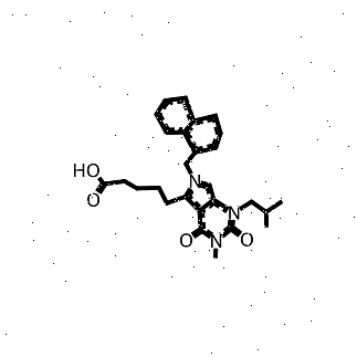 CC(C)Cn1c(=O)n(C)c(=O)c2c(CCCCC(=O)O)n(Cc3cccc4ccccc34)cc21